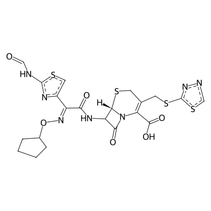 O=CNc1nc(C(=NOC2CCCC2)C(=O)NC2C(=O)N3C(C(=O)O)=C(CSc4nncs4)CS[C@@H]23)cs1